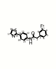 O=C(Cc1cccc(F)c1)Nc1ccc(-c2nccs2)cc1